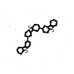 c1ccc2c(c1)sc1ccc(-c3ccc4sc5ccc(-c6ccc7sc8ccccc8c7c6)cc5c4c3)cc12